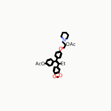 CCC(=C(c1ccc(OCC(CN2CCCCC2)OC(C)=O)cc1)c1ccc(OC(C)=O)cc1)c1ccc2c(c1)OCO2